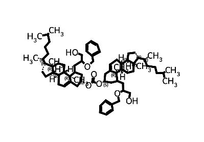 CC(C)CCC[C@@H](C)[C@H]1CC[C@H]2[C@@H]3CC=C4C[C@@H](OC(=O)O[C@@H]5CC6=CC[C@H]7[C@@H]8CC[C@H]([C@H](C)CCCC(C)C)[C@@]8(C)CC[C@@H]7[C@@]6(C)C(CC(CO)OCc6ccccc6)C5)CC(CC(CO)OCc5ccccc5)[C@]4(C)[C@H]3CC[C@]12C